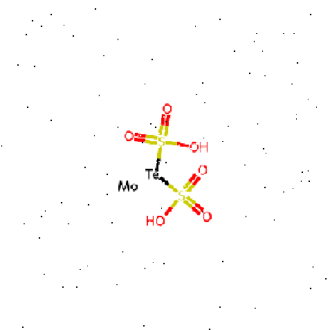 O=S(=O)(O)[Te]S(=O)(=O)O.[Mo]